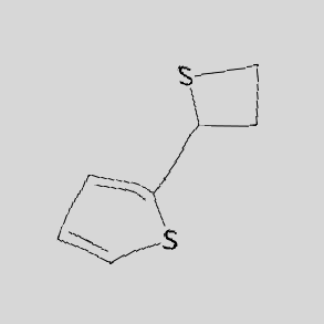 c1csc(C2CCS2)c1